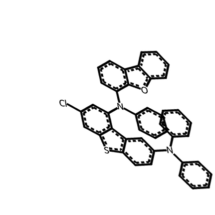 Clc1cc(N(c2ccccc2)c2cccc3c2oc2ccccc23)c2c(c1)sc1ccc(N(c3ccccc3)c3ccccc3)cc12